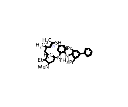 C=C(/C=C(\C)S)CCC(CC)C(CC(=C)N(C)c1ccccc1Nc1c(C(C)C)cc(-c2ccccc2)cc1C(C)C)NC